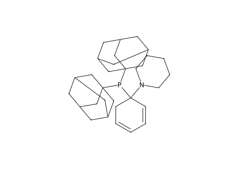 C1=CCC(N2CCCCC2)(P(C23CC4CC(CC(C4)C2)C3)C23CC4CC(CC(C4)C2)C3)C=C1